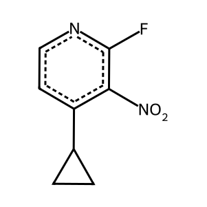 O=[N+]([O-])c1c(C2CC2)ccnc1F